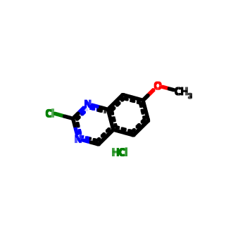 COc1ccc2cnc(Cl)nc2c1.Cl